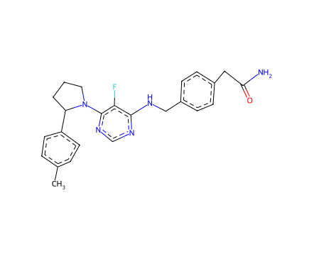 Cc1ccc(C2CCCN2c2ncnc(NCc3ccc(CC(N)=O)cc3)c2F)cc1